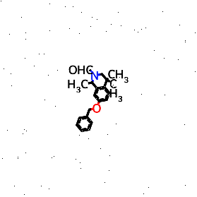 CC1c2cc(OCc3ccccc3)ccc2C(C)(C)CN1C=O